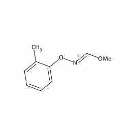 CO/C=N/Oc1ccccc1C